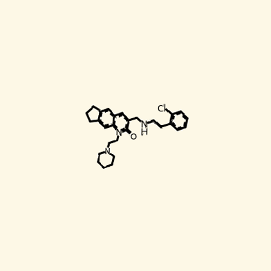 O=c1c(CNCCc2ccccc2Cl)cc2cc3c(cc2n1CCN1CCCCC1)CCC3